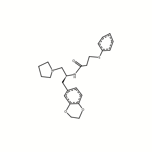 O=C(CCSc1ccccc1)N[C@@H](Cc1ccc2c(c1)OCCO2)CN1CCCC1